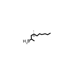 BC(C)C[C@H](C)CCCCCC